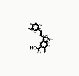 O=C(O)c1cc2c(C=Cc3cccc(F)c3)n[nH]c2cc1F